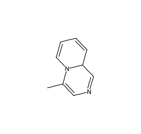 CC1=CN=CC2C=CC=CN12